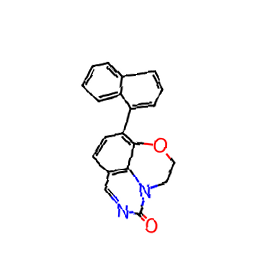 O=c1ncc2ccc(-c3cccc4ccccc34)c3c2n1CCO3